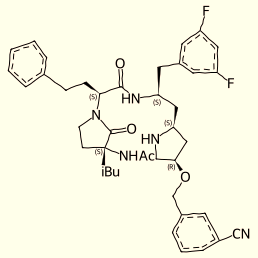 CCC(C)[C@@]1(NC(C)=O)CCN([C@@H](CCc2ccccc2)C(=O)N[C@@H](Cc2cc(F)cc(F)c2)C[C@H]2C[C@@H](OCc3cccc(C#N)c3)CN2)C1=O